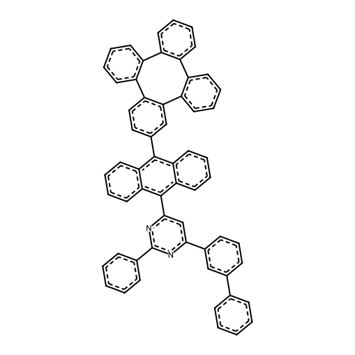 c1ccc(-c2cccc(-c3cc(-c4c5ccccc5c(-c5ccc6c(c5)-c5ccccc5-c5ccccc5-c5ccccc5-6)c5ccccc45)nc(-c4ccccc4)n3)c2)cc1